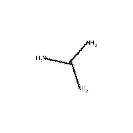 NCCCCCCCCC=CCCCCCCCCCc1cc(CCCCCCCCCC=CCCCCCCCCN)cc(CCCCCCCCCC=CCCCCCCCCN)c1